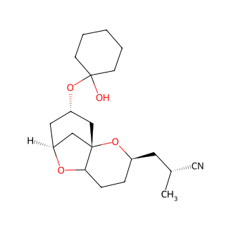 C[C@@H](C#N)C[C@H]1CCC2O[C@H]3C[C@H](OC4(O)CCCCC4)C[C@@]2(C3)O1